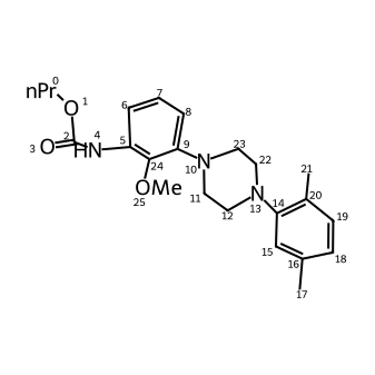 CCCOC(=O)Nc1cccc(N2CCN(c3cc(C)ccc3C)CC2)c1OC